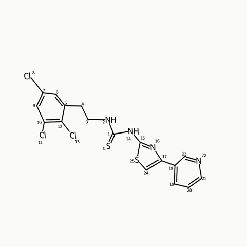 S=C(NCCc1cc(Cl)cc(Cl)c1Cl)Nc1nc(-c2cccnc2)cs1